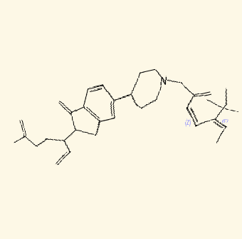 C=CC(CCC(=C)C)C1Cc2cc(C3CCN(CC(=C)/C=C\C(=C/C)C(C)(C)C)CC3)ccc2C1=C